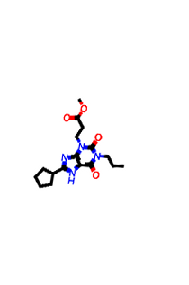 CCCn1c(=O)c2[nH]c(C3CCCC3)nc2n(CCC(=O)OC)c1=O